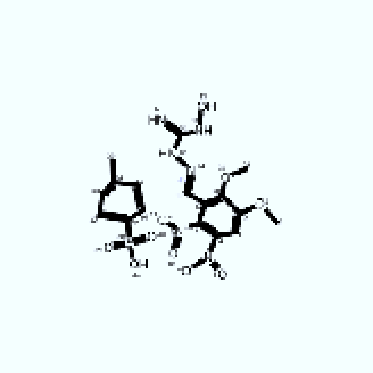 COc1cc([N+](=O)[O-])c([N+](=O)[O-])c(/C=N/NC(=N)NO)c1OC.Cc1ccc(S(=O)(=O)O)cc1